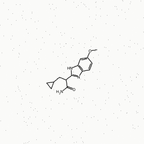 COc1ccc2nc(C(CC3CC3)C(N)=O)[nH]c2c1